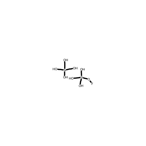 O[Si](O)(O)O.O[Si](O)(O)OF